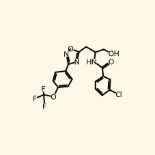 O=C(NC(CO)Cc1nc(-c2ccc(OC(F)(F)F)cc2)no1)c1cccc(Cl)c1